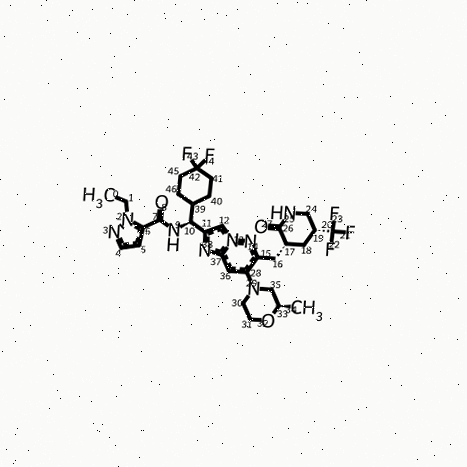 CCn1nccc1C(=O)N[C@H](c1cn2nc(C[C@H]3C[C@@H](C(F)(F)F)CNC3=O)c(N3CCO[C@H](C)C3)cc2n1)C1CCC(F)(F)CC1